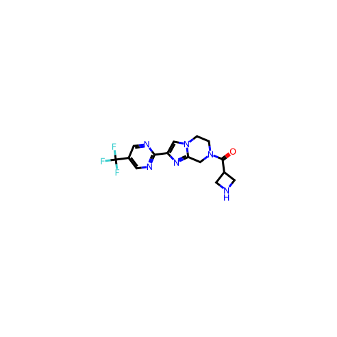 O=C(C1CNC1)N1CCn2cc(-c3ncc(C(F)(F)F)cn3)nc2C1